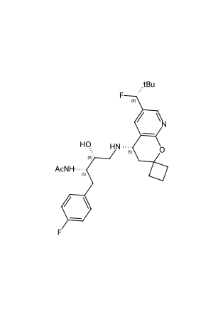 CC(=O)N[C@@H](Cc1ccc(F)cc1)[C@H](O)CN[C@H]1CC2(CCC2)Oc2ncc([C@H](F)C(C)(C)C)cc21